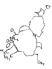 CC1CCC[C@H](CCO)C2CCC2CN2CCCCc3cc(Cl)ccc3COc3ccc(cc32)C(=O)NS(=O)(=O)C1C